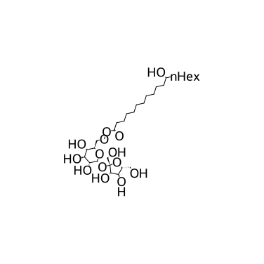 CCCCCCC(O)CCCCCCCCCCC(=O)OOC[C@H]1O[C@H](O[C@]2(CO)O[C@H](CO)[C@@H](O)[C@@H]2O)[C@H](O)[C@@H](O)[C@@H]1O